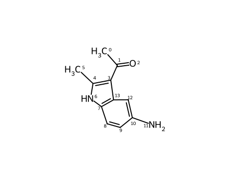 CC(=O)c1c(C)[nH]c2ccc(N)cc12